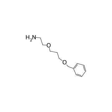 NCCOCCCOCc1ccccc1